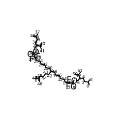 CC(C)CCC(COC(=O)C(F)(F)CCCCCCC(CCCCCCC(F)(F)C(=O)OCC(CCC(C)C)C(C)C)CCCCN(C)C)C(C)C